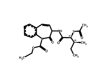 CCOC(=O)N1C(=O)C(NC(=O)[C@@H](SC(C)=O)[C@@H](C)CC)C=Cc2ccccc21